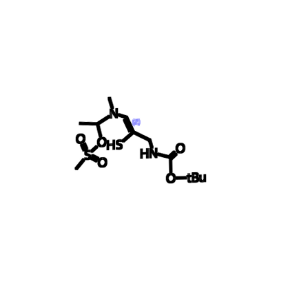 CC(OS(C)(=O)=O)N(C)/C=C(\S)CNC(=O)OC(C)(C)C